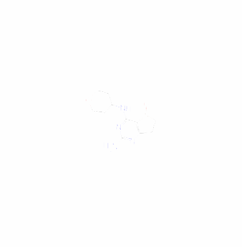 Nc1nc2c(c(NC3CCOCC3)n1)[S+]([O-])CC2